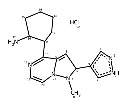 CN1C(c2cn[nH]c2)C=C2C(C3CCCCC3N)=NC=CN21.Cl